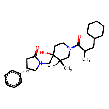 CC(CC1CCCCC1)C(=O)N1CCC(O)(CN2C[C@H](c3ccccc3)CC2=O)C(C)(C)C1